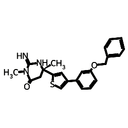 CN1C(=N)N[C@](C)(c2cc(-c3cccc(OCc4ccccc4)c3)cs2)CC1=O